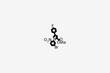 COC(=O)c1cc(-c2ccc(F)cc2)cn1-c1cc(Br)ccc1[N+](=O)[O-]